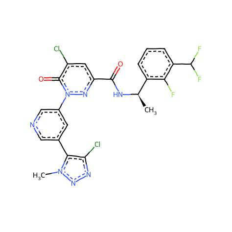 C[C@@H](NC(=O)c1cc(Cl)c(=O)n(-c2cncc(-c3c(Cl)nnn3C)c2)n1)c1cccc(C(F)F)c1F